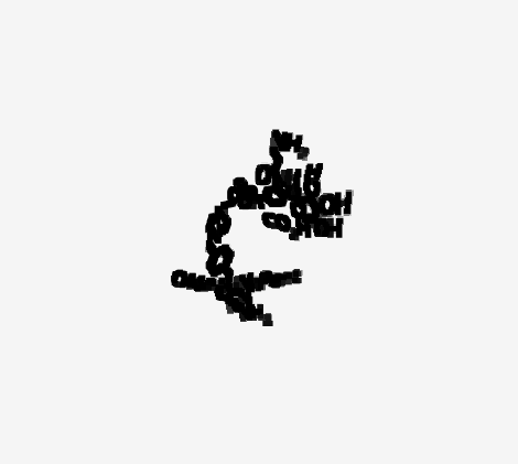 CCCCCNc1nc(N)nc2ccn(Cc3ccc(CN4CCN(CCOP(=O)(O)OCc5ccc(O[C@@H]6O[C@H](C(=O)O)[C@@H](O)[C@H](O)[C@H]6O)c(NC(=O)CCN)c5)CC4)cc3OC)c12